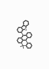 CC1(C)c2ccccc2-c2c3ccccc3c(-c3cccc4c3sc3ccccc34)c3cccc1c23